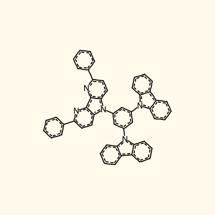 c1ccc(-c2ccc3c(n2)c2nc(-c4ccccc4)ccc2n3-c2cc(-n3c4ccccc4c4ccccc43)cc(-n3c4ccccc4c4ccccc43)c2)cc1